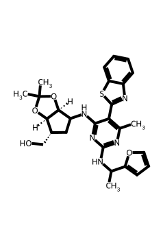 Cc1nc(NC(C)c2ccco2)nc(NC2C[C@H](CO)[C@H]3OC(C)(C)O[C@@H]23)c1-c1nc2ccccc2s1